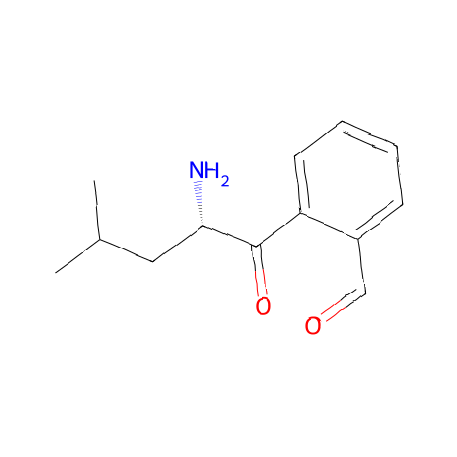 CC(C)C[C@H](N)C(=O)c1ccccc1C=O